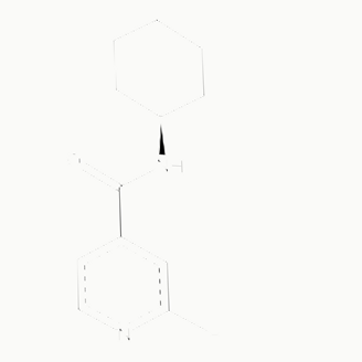 C[C@@H]1[C@@H](NC(=O)c2ccnc(F)c2)CCC[C@@H]1C